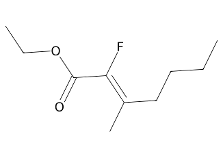 CCCCC(C)=C(F)C(=O)OCC